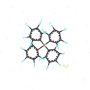 Fc1c(F)c(F)c([B-](c2c(F)c(F)c(F)c(F)c2F)(c2c(F)c(F)c(F)c(F)c2F)c2c(F)c(F)c(F)c(F)c2F)c(F)c1F.[SH3+]